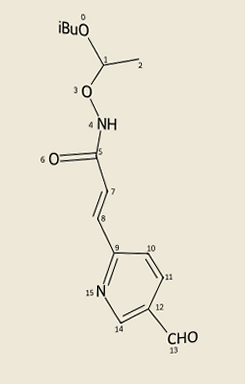 CC(C)COC(C)ONC(=O)C=Cc1ccc(C=O)cn1